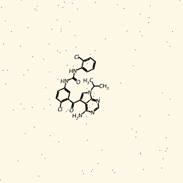 CC(C)n1cc(C(=O)c2cc(NC(=O)Nc3ccccc3Cl)ccc2Cl)c2c(N)ncnc21